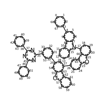 c1ccc(-c2ccc3c(c2)c2ccccc2n3-c2cccc3oc4ccc(-c5cc(-c6cccc(-c7nc(-c8ccccc8)nc(-c8ccccc8)n7)c6)cc6oc7ccccc7c56)cc4c23)cc1